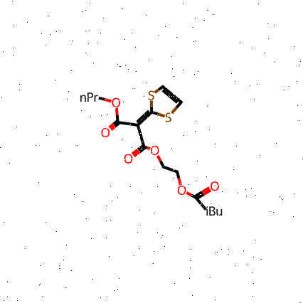 CCCOC(=O)C(C(=O)OCCOC(=O)C(C)CC)=C1SC=CS1